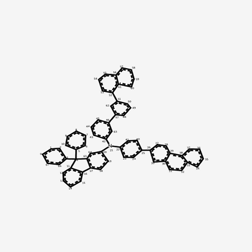 c1ccc(C2(c3ccccc3)c3ccccc3-c3ccc(N(c4ccc(-c5ccc6c(ccc7ccccc76)c5)cc4)c4cccc(-c5cccc(-c6cccc7ccccc67)c5)c4)cc32)cc1